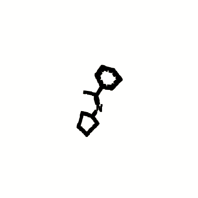 CC(=NC1CCCC1)c1ccccc1